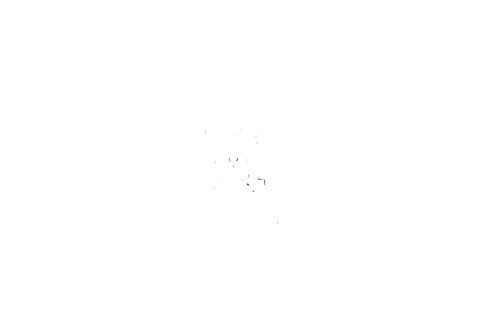 COC(=O)C1=C(c2ccc(Cl)c(Cl)c2)CC2C(O)CC1N2C